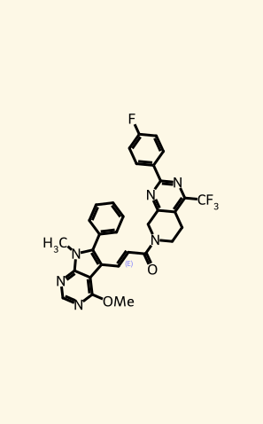 COc1ncnc2c1c(/C=C/C(=O)N1CCc3c(nc(-c4ccc(F)cc4)nc3C(F)(F)F)C1)c(-c1ccccc1)n2C